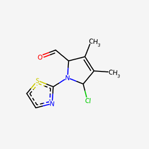 CC1=C(C)C(C=O)N(c2nccs2)C1Cl